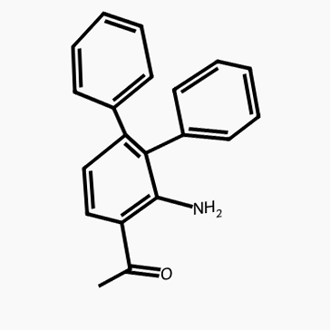 CC(=O)c1ccc(-c2ccccc2)c(-c2ccccc2)c1N